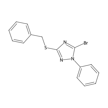 Brc1nc(SCc2ccccc2)nn1-c1ccccc1